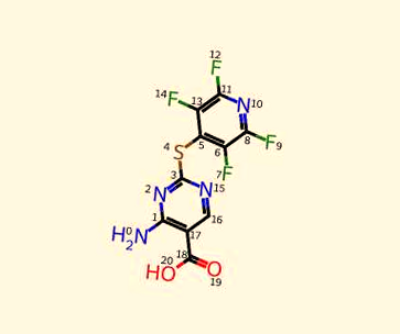 Nc1nc(Sc2c(F)c(F)nc(F)c2F)ncc1C(=O)O